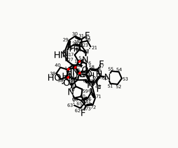 O=C(O)NC1(C2CCCC2)C(=O)N2C([C@H]3CC[C@@H](C4C[C@@H]5CCC[C@@]56c5cc7nc([nH]c7cc5F)C(NC(=O)O)(C5CCCC5)C(=O)N46)N3c3cc(F)c(N4CCCCC4)c(F)c3)CC3CCC[C@@]32c2cc3nc1[nH]c3cc2F